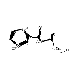 C[C@H](NC(=O)c1cnccn1)C(=O)O